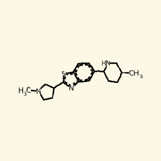 C[C@H]1CCC(c2ccc3sc(C4CCN(C)C4)nc3c2)NC1